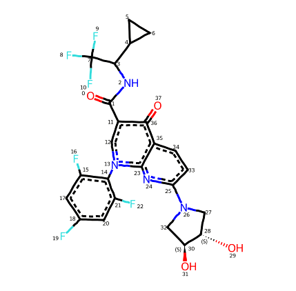 O=C(NC(C1CC1)C(F)(F)F)c1cn(-c2c(F)cc(F)cc2F)c2nc(N3C[C@H](O)[C@@H](O)C3)ccc2c1=O